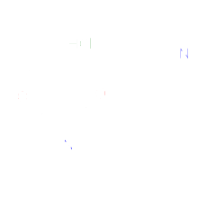 CN1Cc2occc2C(Oc2cccc3cnccc23)C1.Cl